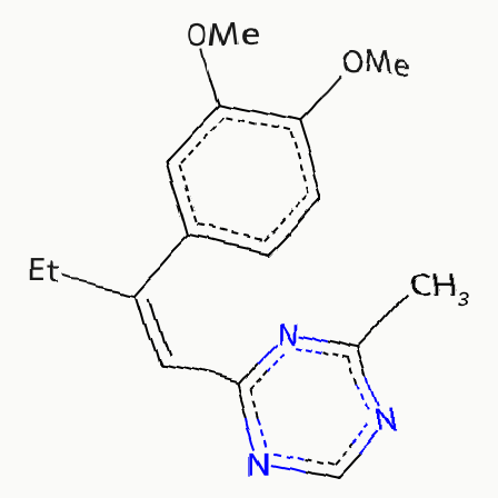 CCC(=Cc1ncnc(C)n1)c1ccc(OC)c(OC)c1